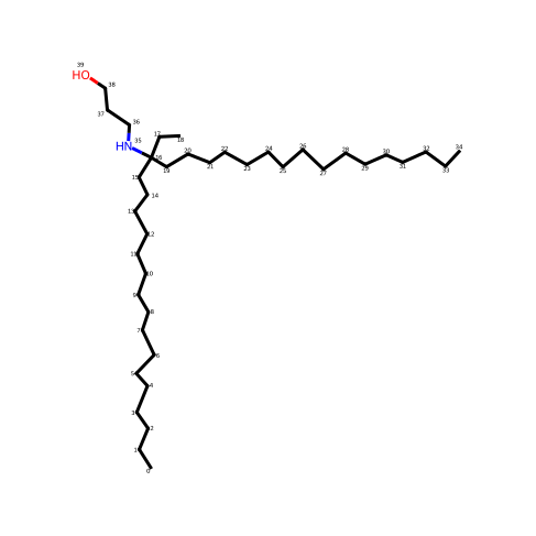 CCCCCCCCCCCCCCCCC(CC)(CCCCCCCCCCCCCCCC)NCCCO